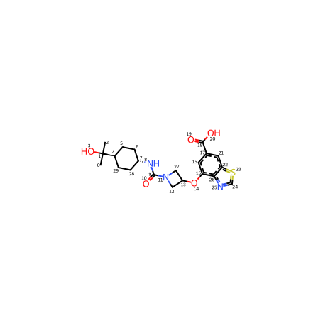 CC(C)(O)[C@H]1CC[C@H](NC(=O)N2CC(Oc3cc(C(=O)O)cc4scnc34)C2)CC1